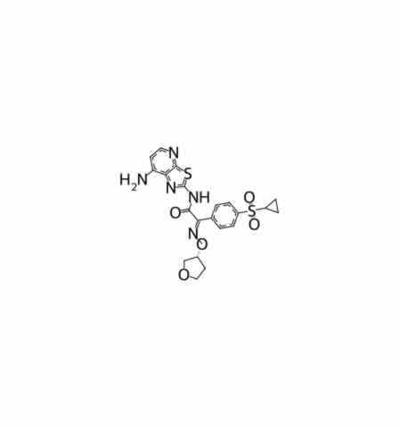 Nc1ccnc2sc(NC(=O)/C(=N/O[C@@H]3CCOC3)c3ccc(S(=O)(=O)C4CC4)cc3)nc12